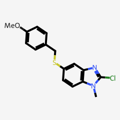 COc1ccc(CSc2ccc3c(c2)nc(Cl)n3C)cc1